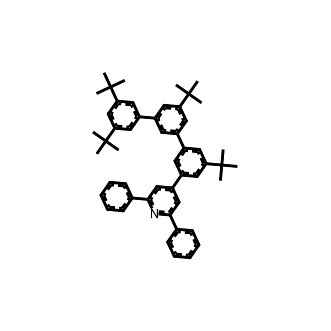 CC(C)(C)c1cc(-c2cc(-c3cc(-c4ccccc4)nc(-c4ccccc4)c3)cc(C(C)(C)C)c2)cc(-c2cc(C(C)(C)C)cc(C(C)(C)C)c2)c1